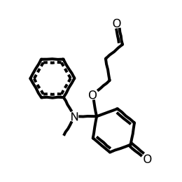 CN(c1ccccc1)C1(OCCC=O)C=CC(=O)C=C1